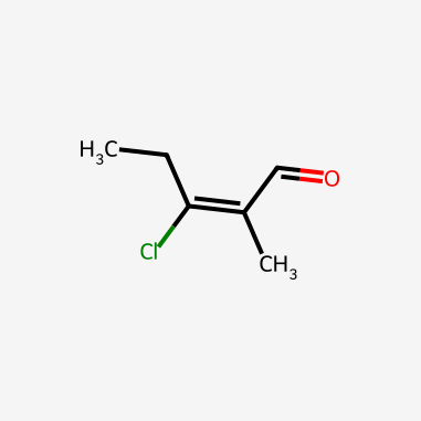 CC/C(Cl)=C(/C)C=O